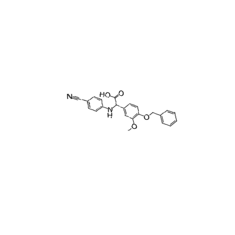 COc1cc(C(Nc2ccc(C#N)cc2)C(=O)O)ccc1OCc1ccccc1